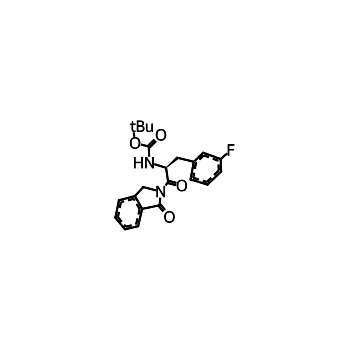 CC(C)(C)OC(=O)N[C@@H](Cc1cccc(F)c1)C(=O)N1Cc2ccccc2C1=O